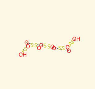 O=C(CSCSCCOOCSCSCOC(=O)CSCSCC(=O)OCSCSCO)OCSCSCO